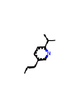 C/C=C/c1ccc(C(C)C)nc1